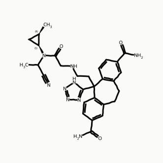 CC(C#N)N(C(=O)CNCCC1(c2nnn[nH]2)c2ccc(C(N)=O)cc2CCc2cc(C(N)=O)ccc21)[C@H]1C[C@H]1C